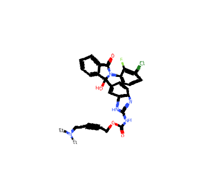 CCN(CC)CC#CCOC(=O)Nc1nc2ccc(C3(O)c4ccccc4C(=O)N3c3cccc(Cl)c3F)cc2[nH]1